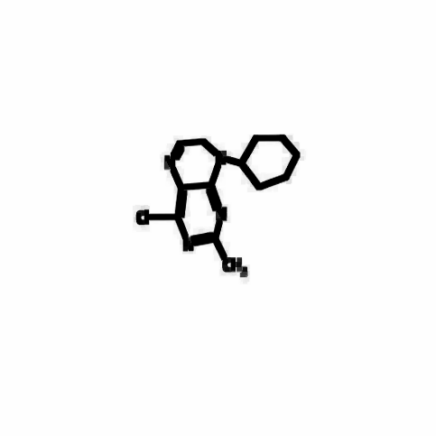 Cc1nc(Cl)c2c(n1)N(C1CCCCC1)CC=N2